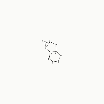 [CH]1CCC2C(C1)CC1OC12